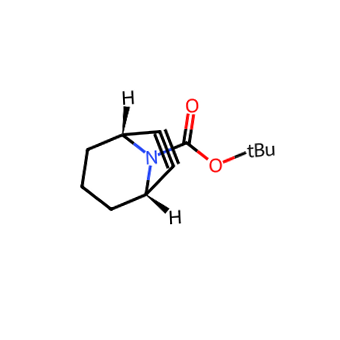 CC(C)(C)OC(=O)N1[C@@H]2C#C[C@H]1CCC2